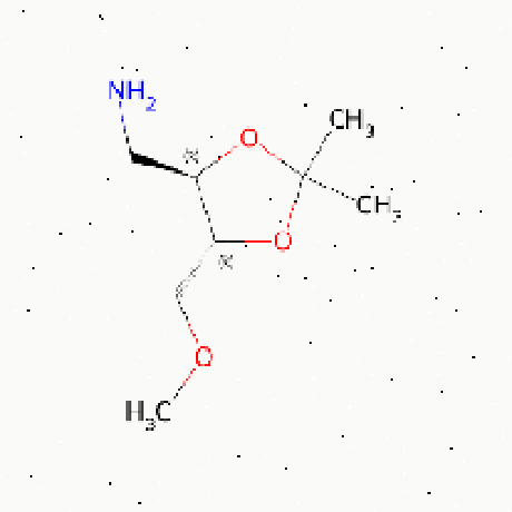 COC[C@H]1OC(C)(C)O[C@@H]1CN